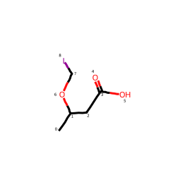 CC(CC(=O)O)OCI